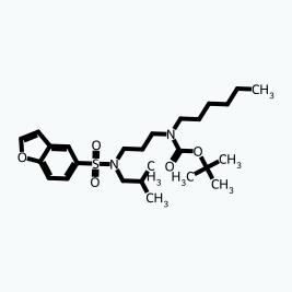 CCCCCCN(CCCN(CC(C)C)S(=O)(=O)c1ccc2occc2c1)C(=O)OC(C)(C)C